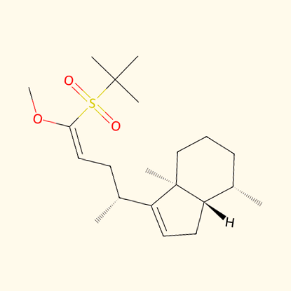 CO/C(=C/C[C@@H](C)C1=CC[C@H]2[C@@H](C)CCC[C@]12C)S(=O)(=O)C(C)(C)C